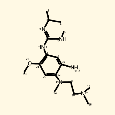 CN/C(=N\C(C)C)Nc1cc(N)c(N(C)CCN(C)C)cc1OC